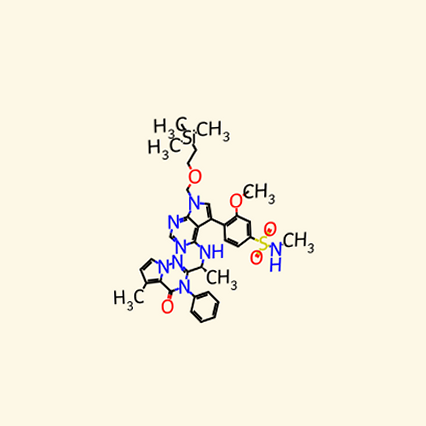 CNS(=O)(=O)c1ccc(-c2cn(COCC[Si](C)(C)C)c3ncnc(N[C@@H](C)c4nn5ccc(C)c5c(=O)n4-c4ccccc4)c23)c(OC)c1